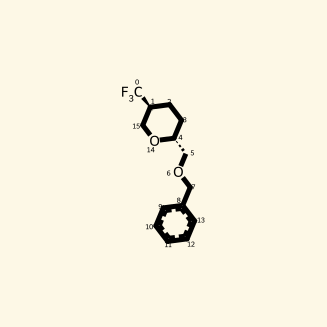 FC(F)(F)[C@H]1CC[C@H](COCc2ccccc2)OC1